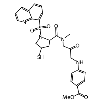 COC(=O)c1ccc(NCC(=O)CN(C)C(=O)C2CC(S)CN2S(=O)(=O)c2cccc3cccnc23)cc1